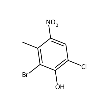 Cc1c([N+](=O)[O-])cc(Cl)c(O)c1Br